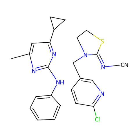 Cc1cc(C2CC2)nc(Nc2ccccc2)n1.N#C/N=C1\SCCN1Cc1ccc(Cl)nc1